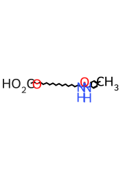 Cc1ccc(NC(=O)NCCCCCCCCCCCCCOCC(=O)O)cc1